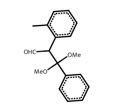 COC(OC)(c1ccccc1)C(C=O)c1ccccc1C